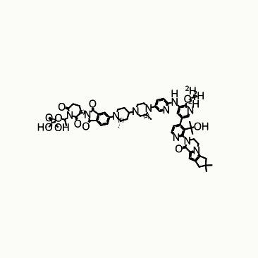 [2H]C([2H])([2H])Oc1ncc(-c2ccnc(N3CCn4c(cc5c4CC(C)(C)C5)C3=O)c2C(C)(C)O)cc1Nc1ccc(N2CCN(C3CCN(c4ccc5c(c4)C(=O)N([C@H]4CCC(=O)N(C(C)OP(=O)(O)O)C4=O)C5=O)[C@@H](C)C3)C[C@@H]2C)cn1